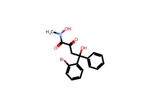 CN(O)C(=O)C(=O)CC(O)(c1ccccc1)c1ccccc1Br